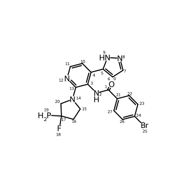 O=C(Nc1c(-c2ccn[nH]2)ccnc1N1CCC(F)(P)C1)c1ccc(Br)cc1